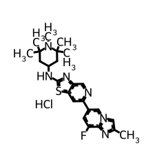 Cc1cn2cc(-c3cc4sc(NC5CC(C)(C)N(C)C(C)(C)C5)nc4cn3)cc(F)c2n1.Cl